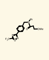 COCCC(=O)N(Cc1ccc(-c2noc(C(F)(F)F)n2)cc1)C(C)C